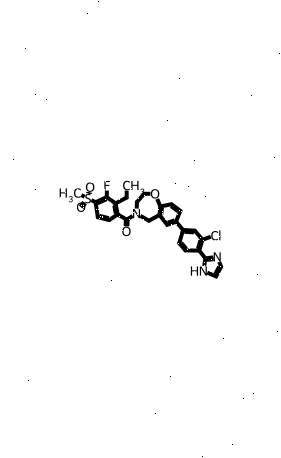 CCc1c(C(=O)N2CCOc3ccc(-c4ccc(-c5ncc[nH]5)c(Cl)c4)cc3C2)ccc(S(C)(=O)=O)c1F